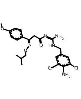 COc1ccc(/C(CC(=O)/N=C(/N)NCc2cc(Cl)c(N)c(Cl)c2)=N\OCC(C)C)cc1